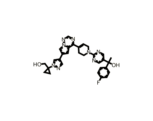 CC(O)(c1ccc(F)cc1)c1cnc(N2CC=C(c3ncnn4cc(-c5cnn(C6(CO)CC6)c5)cc34)CC2)nc1